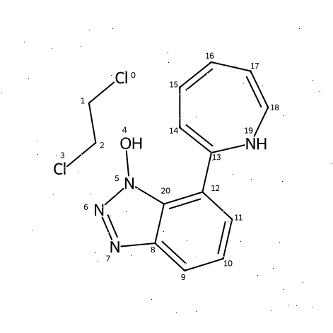 ClCCCl.On1nnc2cccc(C3=CC=CC=CN3)c21